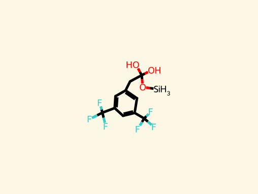 OC(O)(Cc1cc(C(F)(F)F)cc(C(F)(F)F)c1)O[SiH3]